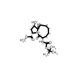 COC(=O)[C@@H]1C[C@@H](O)[C@@H]2CCCCC[C@H](NC(=O)OC(C)(C)C)C(=O)N12